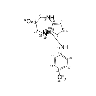 O=C1CNC2=CSCC23NC(Nc2ccc(C(F)(F)F)cc2)=NC=C3C1